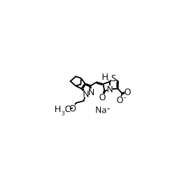 COCCn1nc(C=C2C(=O)N3C(C(=O)[O-])=CS[C@H]23)c2c1C1CCC2C1.[Na+]